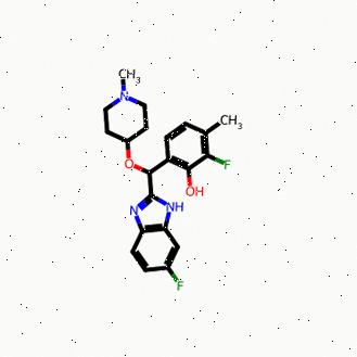 Cc1ccc(C(OC2CCN(C)CC2)c2nc3ccc(F)cc3[nH]2)c(O)c1F